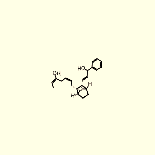 C/C=C(/O)C/C=C\C[C@@H]1[C@H](/C=C/C(O)c2ccccc2)[C@@H]2CC[C@H]1O2